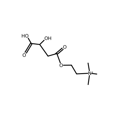 C[N+](C)(C)CCOC(=O)CC(O)C(=O)O